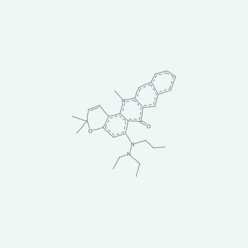 CCCN(c1cc2c(c3c1c(=O)c1cc4ccccc4cc1n3C)C=CC(C)(C)O2)N(CC)CC